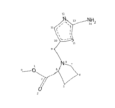 COC(=O)C1CCCN1Cc1cnc(N)s1